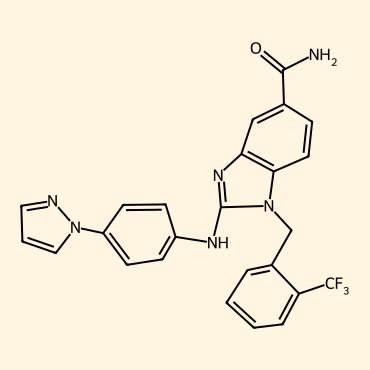 NC(=O)c1ccc2c(c1)nc(Nc1ccc(-n3cccn3)cc1)n2Cc1ccccc1C(F)(F)F